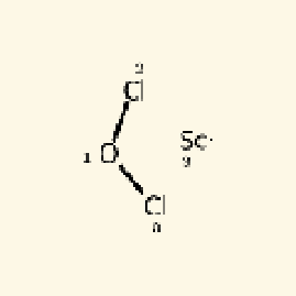 ClOCl.[Sc]